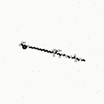 CCCOCCNC(=O)COCCOCCNC(=O)CC[C@H](NC(=O)CCCCCCCCCCCCCCCOc1cccc(C(=O)O)c1)C(=O)O